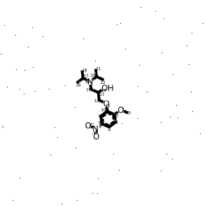 COc1ccc([N+](=O)[O-])cc1OCC(O)CN(C(C)C)C(C)C